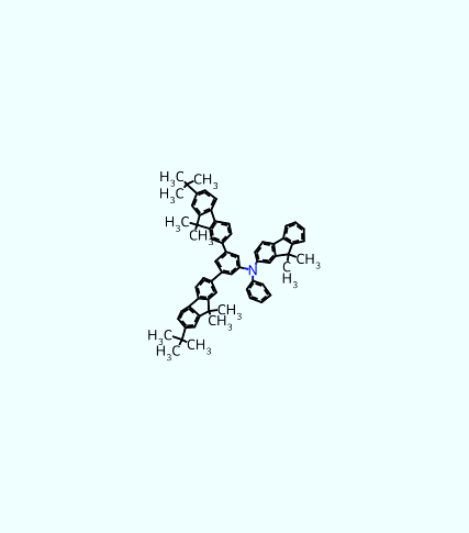 CC(C)(C)c1ccc2c(c1)C(C)(C)c1cc(-c3cc(-c4ccc5c(c4)C(C)(C)c4cc(C(C)(C)C)ccc4-5)cc(N(c4ccccc4)c4ccc5c(c4)C(C)(C)c4ccccc4-5)c3)ccc1-2